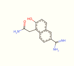 N=C(N)c1ccc2c(CC(N)=O)c(O)ccc2c1